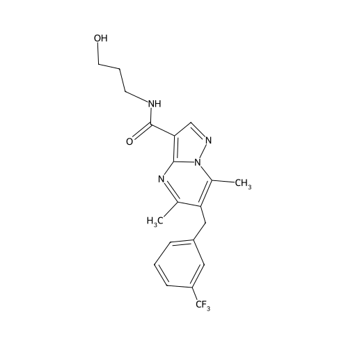 Cc1nc2c(C(=O)NCCCO)cnn2c(C)c1Cc1cccc(C(F)(F)F)c1